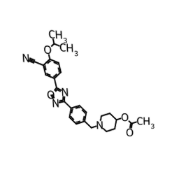 CC(=O)OC1CCN(Cc2ccc(-c3noc(-c4ccc(OC(C)C)c(C#N)c4)n3)cc2)CC1